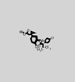 C[C@H]([C@H](C(=O)Nc1cc(C2(CC(=O)OC(C)(C)C)CC2)ccc1Cl)C1C=CC(Cl)=CC1)C(F)(F)F